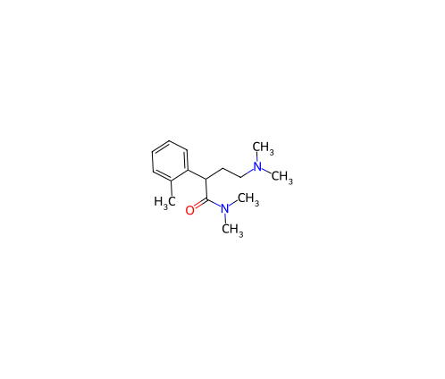 Cc1ccccc1C(CCN(C)C)C(=O)N(C)C